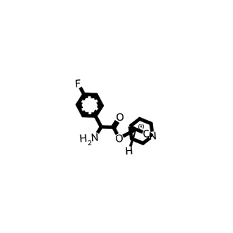 NC(C(=O)O[C@H]1CN2CCC1CC2)c1ccc(F)cc1